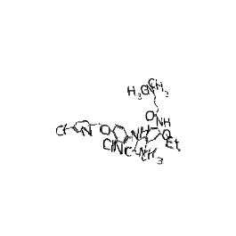 CCOc1cc2c(cc1NC(=O)CCCN(C)C)C(Nc1ccc(OCc3ccc(Cl)cn3)c(Cl)c1)C(C#N)CN2C